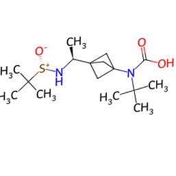 C[C@H](N[S@@+]([O-])C(C)(C)C)C12CC(N(C(=O)O)C(C)(C)C)(C1)C2